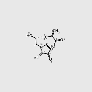 C=C(C)C(=O)O.O=C1C=CN(CCO)C1=O